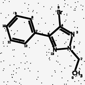 CCn1nc(Br)c(-c2ccccc2)n1